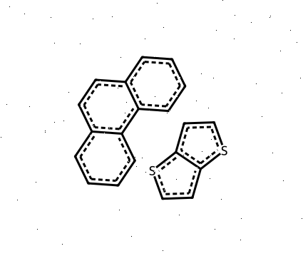 c1cc2sccc2s1.c1ccc2c(c1)ccc1ccccc12